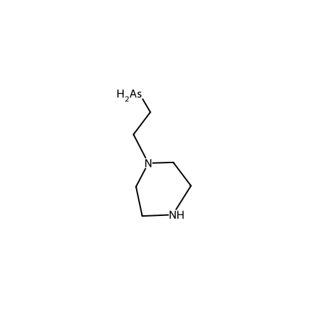 [AsH2]CCN1CCNCC1